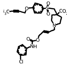 CC#CCOc1ccc(S(=O)(=O)CC2(C(=O)OCC)CCN(CC#CCOC(=O)Nc3cccc(Cl)c3)CC2)cc1